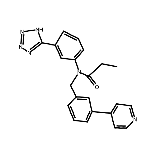 CCC(=O)N(Cc1cccc(-c2ccncc2)c1)c1cccc(-c2nnn[nH]2)c1